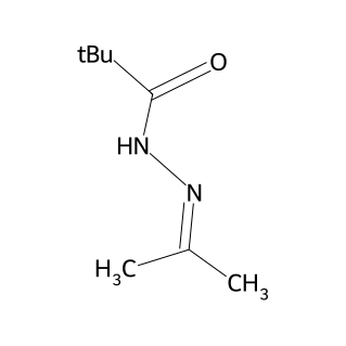 CC(C)=NNC(=O)C(C)(C)C